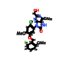 COc1cc(Cl)c(-n2c(=O)[nH]c3c(OC)nc(CO)nc32)cc1OCc1c(F)cccc1OC